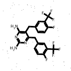 Nc1nc(N)c(Cc2ccc(F)c(C(F)(F)F)c2)c(Cc2ccc(F)c(C(F)(F)F)c2)n1